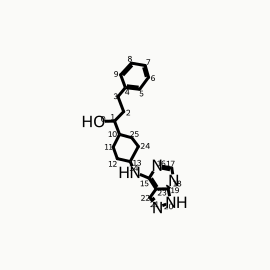 OC(CCc1ccccc1)C1CCC(Nc2ncnc3[nH]ncc23)CC1